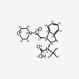 CC(C)(C)N(C(=O)O)[C@@H]1Cc2ccccc2[C@@H]1C[S+]([O-])N1CCOCC1